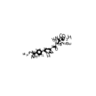 CCCCS(=O)(=O)[C@@](N)(CNC(=O)C[C@H]1C[C@@H](c2ccc(C(=N)N)cc2)NO1)C(=O)O